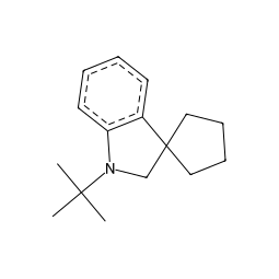 CC(C)(C)N1CC2(CCCC2)c2ccccc21